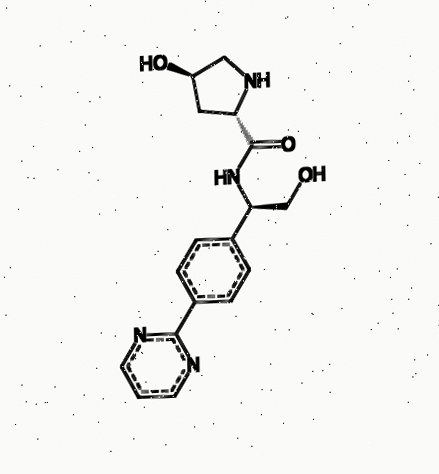 O=C(N[C@@H](CO)c1ccc(-c2ncccn2)cc1)[C@@H]1C[C@@H](O)CN1